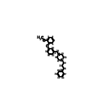 COc1ccccc1Oc1cccc(CN2CCN(CCCc3ccccc3)CC2)c1